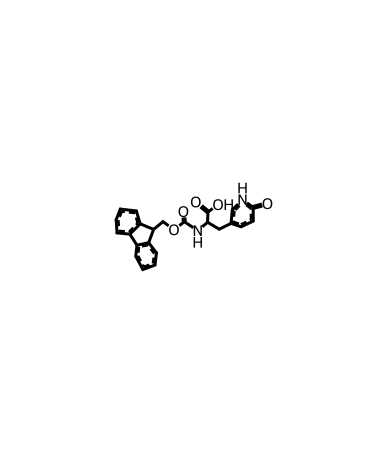 O=C(NC(Cc1ccc(=O)[nH]c1)C(=O)O)OCC1c2ccccc2-c2ccccc21